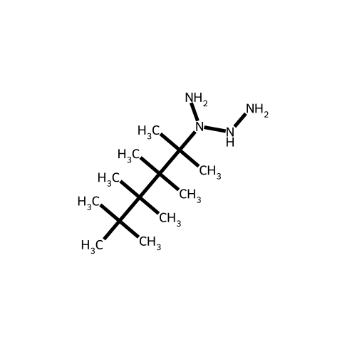 CC(C)(C)C(C)(C)C(C)(C)C(C)(C)N(N)NN